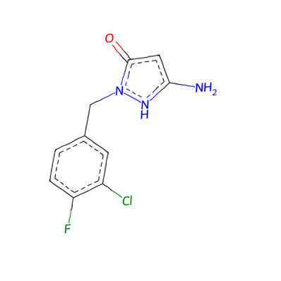 Nc1cc(=O)n(Cc2ccc(F)c(Cl)c2)[nH]1